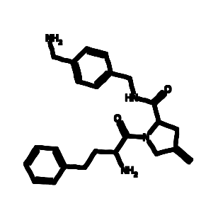 C=C1CC(C(=O)NCc2ccc(CN)cc2)N(C(=O)C(N)CCc2ccccc2)C1